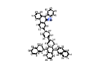 C1=CC2=CC(c3c4c(c(-c5ccc6ccccc6c5)c5ccccc35)CCC(C3=CCC(c5ccc6c(c5)C5=Nc7ccccc7C5c5ccccc5-6)C=C3)=C4)=CCC2C=C1